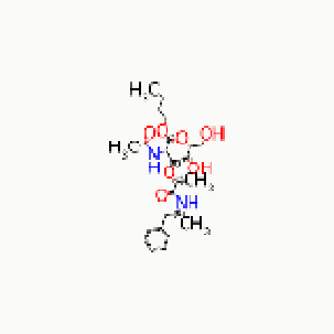 CCCCO[C@H]1OC(CO)[C@@H](O)[C@H](O[C@@H](C)C(=O)N[C@@H](C)Cc2ccccc2)C1NC(C)=O